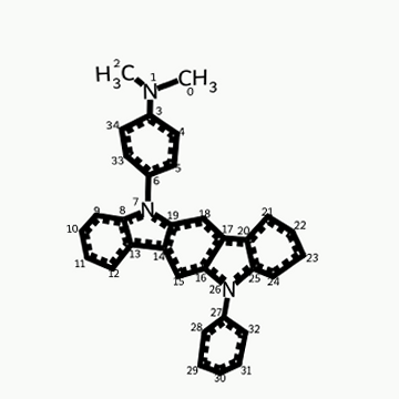 CN(C)c1ccc(-n2c3ccccc3c3cc4c(cc32)c2ccccc2n4-c2ccccc2)cc1